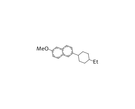 CCC1CCC(c2ccc3cc(OC)ccc3c2)CC1